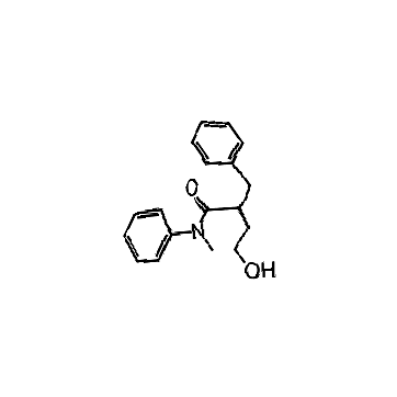 CN(C(=O)C(CCO)Cc1ccccc1)c1ccccc1